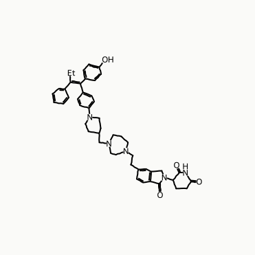 CC/C(=C(\c1ccc(O)cc1)c1ccc(N2CCC(CN3CCCN(CCc4ccc5c(c4)CN(C4CCC(=O)NC4=O)C5=O)CC3)CC2)cc1)c1ccccc1